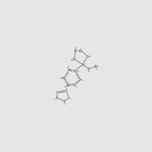 C1=CSSC1.CCO[Si](OCC)(OCC)c1ccnnn1